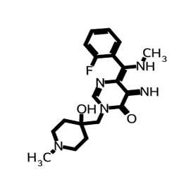 CN/C(=C1/N=CN(CC2(O)CCN(C)CC2)C(=O)C1=N)c1ccccc1F